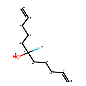 C=CCCCC(O)(F)CCCC=C